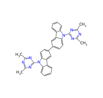 Cc1nc(C)nc(-n2c3ccccc3c3cc(-c4ccc5c(c4)c4ccccc4n5-c4nc(C)nc(C)n4)ccc32)n1